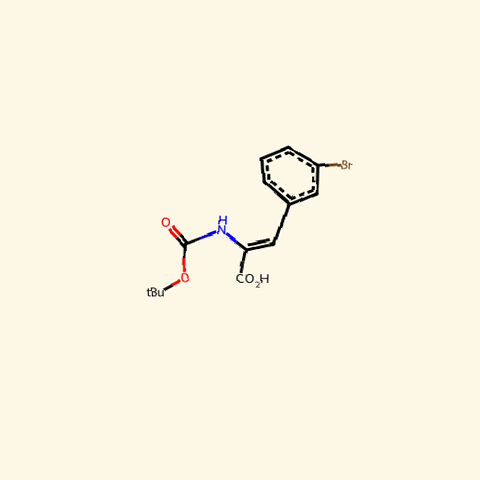 CC(C)(C)OC(=O)NC(=Cc1cccc(Br)c1)C(=O)O